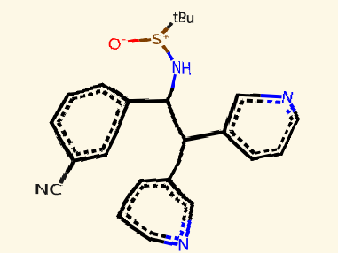 CC(C)(C)[S+]([O-])NC(c1cccc(C#N)c1)C(c1cccnc1)c1cccnc1